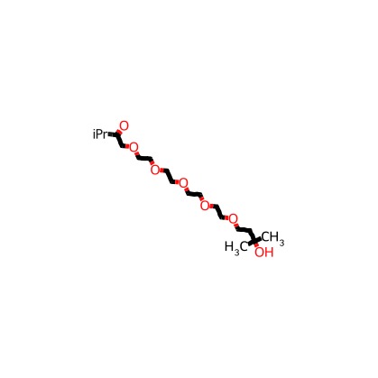 CC(C)C(=O)COCCOCCOCCOCCOCCC(C)(C)O